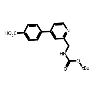 CC(C)(C)OC(=O)NCc1cc(-c2ccc(C(=O)O)cc2)ccn1